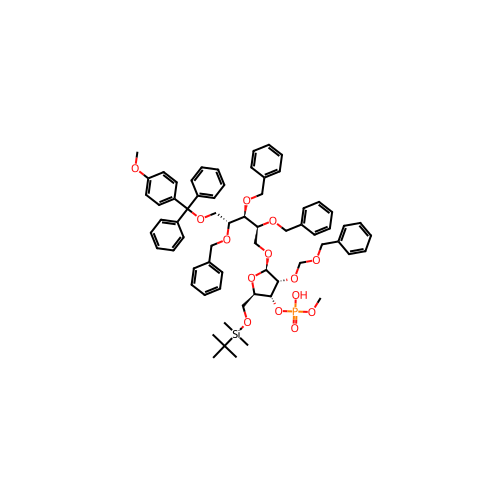 COc1ccc(C(OC[C@@H](OCc2ccccc2)[C@@H](OCc2ccccc2)[C@H](CO[C@@H]2O[C@H](CO[Si](C)(C)C(C)(C)C)[C@@H](OP(=O)(O)OC)[C@H]2OCOCc2ccccc2)OCc2ccccc2)(c2ccccc2)c2ccccc2)cc1